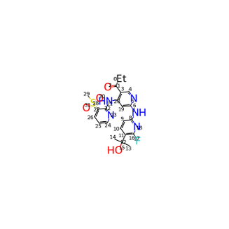 CCC(=O)c1cnc(Nc2ccc(C(C)(C)O)c(F)n2)cc1Nc1ncccc1S(C)(=O)=O